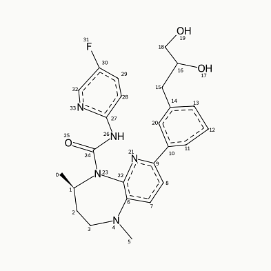 C[C@@H]1CCN(C)c2ccc(-c3cccc(CC(O)CO)c3)nc2N1C(=O)Nc1ccc(F)cn1